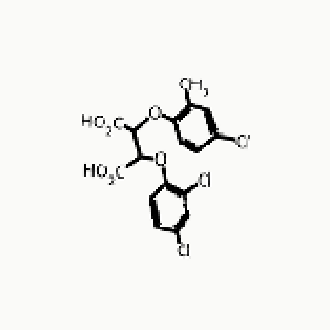 Cc1cc(Cl)ccc1OC(C(=O)O)C(Oc1ccc(Cl)cc1Cl)C(=O)O